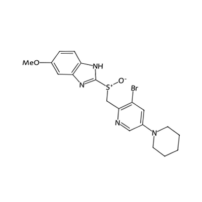 COc1ccc2[nH]c([S+]([O-])Cc3ncc(N4CCCCC4)cc3Br)nc2c1